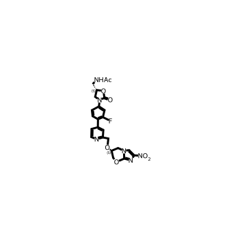 CC(=O)NC[C@H]1CN(c2ccc(-c3ccnc(CO[C@@H]4COc5nc([N+](=O)[O-])cn5C4)c3)c(F)c2)C(=O)O1